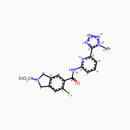 CCOC(=O)N1Cc2cc(F)c(C(=O)Nc3cccc(-c4nnnn4C(C)C)n3)cc2C1